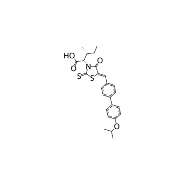 CC[C@@H](C)[C@@H](C(=O)O)N1C(=O)/C(=C/c2ccc(-c3ccc(OC(C)C)cc3)cc2)SC1=S